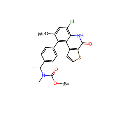 COc1cc(Cl)c2[nH]c(=O)c3sccc3c2c1-c1ccc([C@@H](C)N(C)C(=O)OC(C)(C)C)cc1